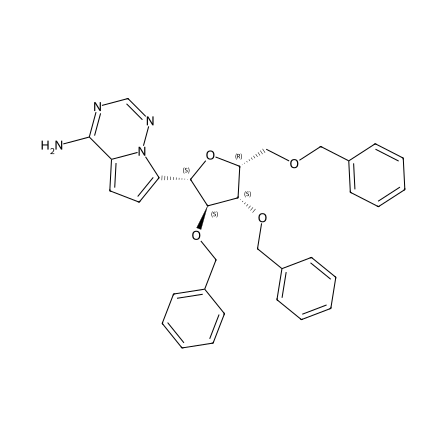 Nc1ncnn2c([C@@H]3O[C@H](COCc4ccccc4)[C@H](OCc4ccccc4)[C@H]3OCc3ccccc3)ccc12